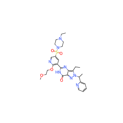 CCc1c2nc(-c3cc(S(=O)(=O)N4CCN(CC)CC4)cnc3OCCOC)[nH]c(=O)c2nn1C(C)c1ccccn1